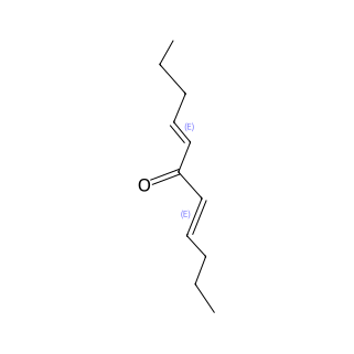 CCC/C=C/C(=O)/C=C/CCC